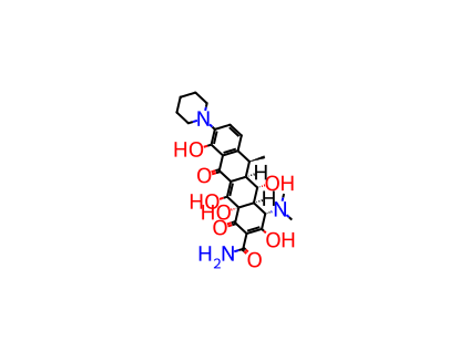 C[C@@H]1c2ccc(N3CCCCC3)c(O)c2C(=O)C2=C(O)[C@]3(O)C(=O)C(C(N)=O)=C(O)[C@@H](N(C)C)[C@@H]3[C@@H](O)[C@@H]21